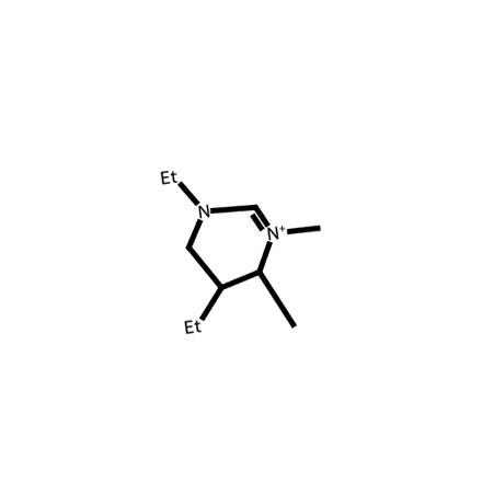 CCC1CN(CC)C=[N+](C)C1C